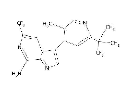 Cc1cnc(C(C)(C)C(F)(F)F)cc1-c1cnc2c(N)nc(C(F)(F)F)cn12